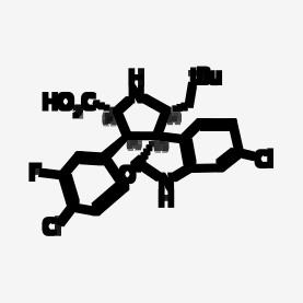 CC(C)(C)C[C@H]1N[C@@H](C(=O)O)[C@H](c2ccc(Cl)c(F)c2)[C@@]12C(=O)Nc1cc(Cl)ccc12